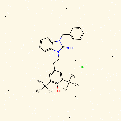 CC(C)(C)c1cc(CCn2c(=N)n(Cc3ccccc3)c3ccccc32)cc(C(C)(C)C)c1O.Cl